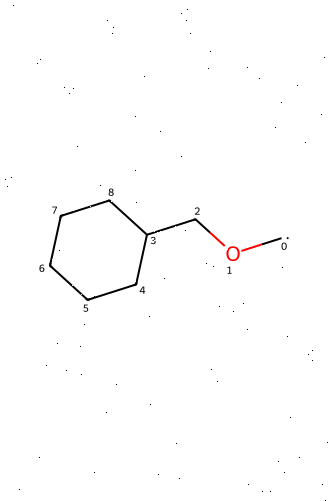 [CH2]OCC1CCCCC1